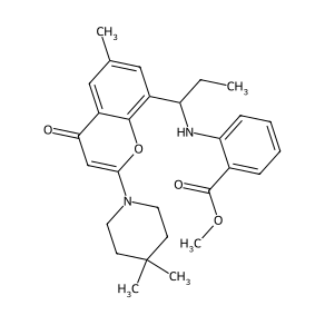 CCC(Nc1ccccc1C(=O)OC)c1cc(C)cc2c(=O)cc(N3CCC(C)(C)CC3)oc12